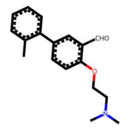 Cc1ccccc1-c1ccc(OCCN(C)C)c(C=O)c1